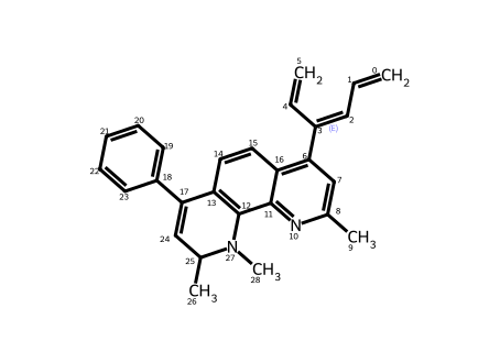 C=C/C=C(\C=C)c1cc(C)nc2c3c(ccc12)C(c1ccccc1)=CC(C)N3C